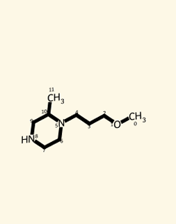 COCCCN1CCNCC1C